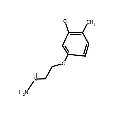 Cc1ccc(OCCNN)cc1Cl